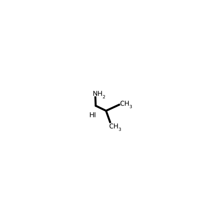 CC(C)CN.I